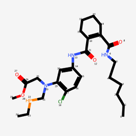 CCCCCCNC(=O)C1=C(C(=O)Nc2ccc(Cl)c(N(CPCC)CC(=O)OC)c2)CCCC1